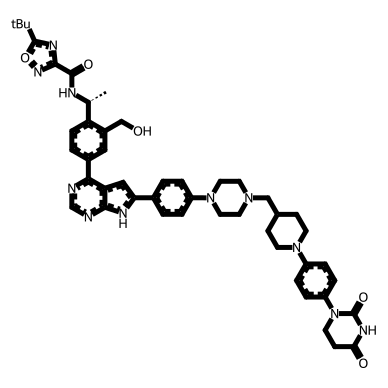 C[C@@H](NC(=O)c1noc(C(C)(C)C)n1)c1ccc(-c2ncnc3[nH]c(-c4ccc(N5CCN(CC6CCN(c7ccc(N8CCC(=O)NC8=O)cc7)CC6)CC5)cc4)cc23)cc1CO